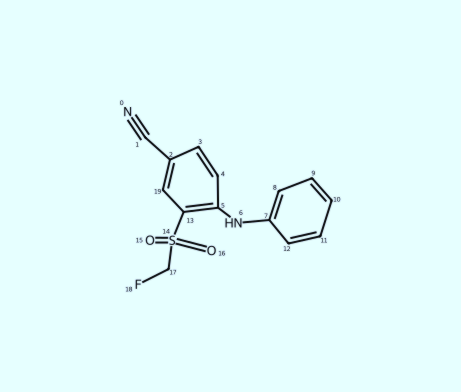 N#Cc1ccc(Nc2ccccc2)c(S(=O)(=O)CF)c1